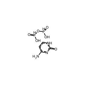 Nc1cc[nH]c(=O)n1.O=[PH](O)O[PH](=O)O